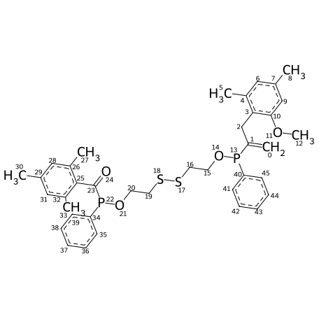 C=C(Cc1c(C)cc(C)cc1OC)P(OCCSSCCOP(C(=O)c1c(C)cc(C)cc1C)c1ccccc1)c1ccccc1